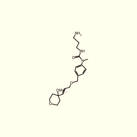 COC1(/C=C/COCc2ccc(N(C)C(=O)NCCCN)cc2)CCOCC1